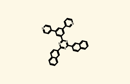 c1cncc(-c2cc(-c3ccncc3)cc(-c3nc(-c4ccc5ccccc5c4)nc(-c4ccc5ccccc5c4)n3)c2)c1